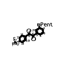 CCCCCc1cccc(C(=O)C(=O)c2ccc(OC(F)F)cc2)c1